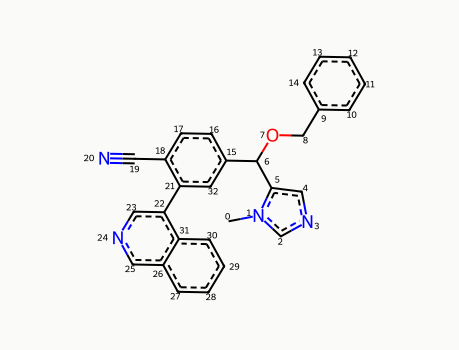 Cn1cncc1C(OCc1ccccc1)c1ccc(C#N)c(-c2cncc3ccccc23)c1